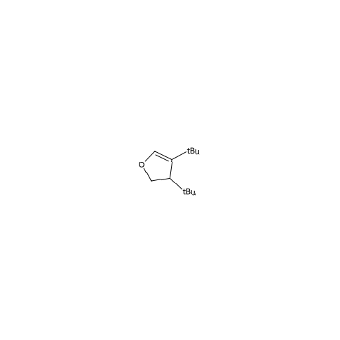 CC(C)(C)C1=COCC1C(C)(C)C